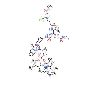 CC[C@H](C)[C@@H]([C@@H](CC(=O)N1CCC[C@H]1[C@H](OC)[C@@H](C)C(=O)N[C@@H](Cc1ccccc1)C(=O)NCc1ccc(NC(=O)[C@H](CCCNC(N)=O)NC(=O)[C@@H](NC(=O)CCCN2CC[C@H](C(=O)OC)C[C@@H]2C(F)(F)F)C(C)C)cc1)OC)N(C)C(=O)[C@@H](NC(=O)[C@H](C(C)C)N(C)C)C(C)C